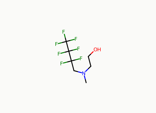 CN(CCO)CC(F)(F)C(F)(F)C(F)(F)F